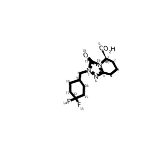 O=C(O)[C@H]1CCCc2nn(CC3CCC(F)(F)CC3)c(=O)n21